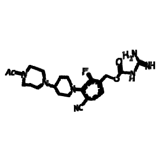 CC(=O)N1CCN(C2CCN(c3c(C#N)ccc(COC(=O)NC(=N)N)c3F)CC2)CC1